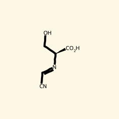 N#CC=N[C@@H](CO)C(=O)O